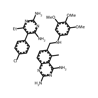 CCc1nc(N)nc(N)c1-c1ccc(Cl)cc1.COc1cc(NCc2ccc3nc(N)nc(N)c3c2C)cc(OC)c1OC